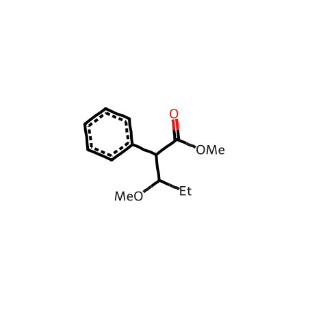 CCC(OC)C(C(=O)OC)c1ccccc1